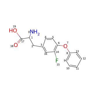 NC(Cc1ccc(Oc2ccccc2)c(F)c1)C(=O)O